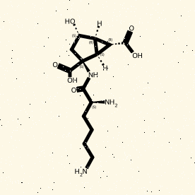 NCCCC[C@H](N)C(=O)N[C@@]1(C(=O)O)C[C@H](O)[C@H]2[C@H](C(=O)O)[C@H]21